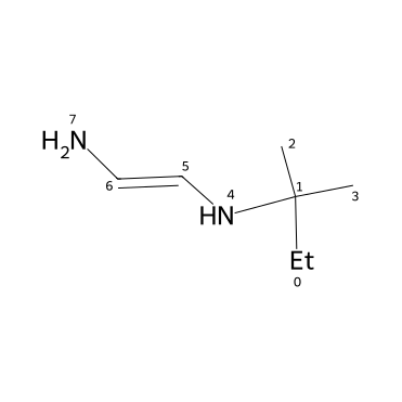 CCC(C)(C)NC=CN